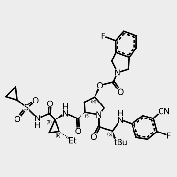 CC[C@@H]1C[C@]1(NC(=O)[C@@H]1C[C@@H](OC(=O)N2Cc3cccc(F)c3C2)CN1C(=O)[C@@H](Nc1ccc(F)c(C#N)c1)C(C)(C)C)C(=O)NS(=O)(=O)C1CC1